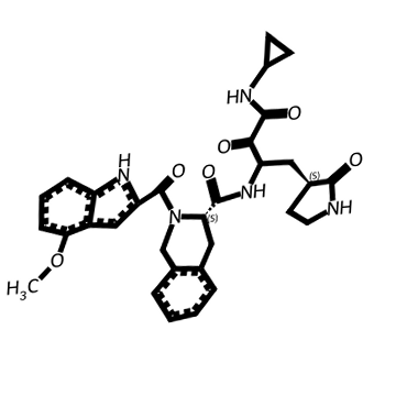 COc1cccc2[nH]c(C(=O)N3Cc4ccccc4C[C@H]3C(=O)NC(C[C@@H]3CCNC3=O)C(=O)C(=O)NC3CC3)cc12